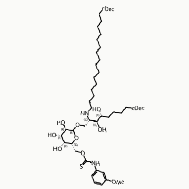 CCCCCCCCCCCCCCCCCCCCCCCCCCN[C@@H](CO[C@H]1O[C@H](COC(=S)Nc2cccc(OC)c2)[C@H](O)[C@H](O)[C@H]1O)[C@H](O)[C@H](O)CCCCCCCCCCCCCC